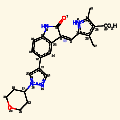 Cc1[nH]c(/C=C2\C(=O)Nc3ccc(-c4cnn(C5CCOCC5)c4)cc32)c(C)c1C(=O)O